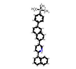 C[Si](C)(C)c1ccc(-c2ccc3cc(-c4ccc(-c5cccc6ccccc56)nc4)ccc3c2)cc1